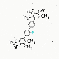 CCCc1c(C)cc(-c2ccc(-c3ccc(-c4cc(C)c(CCC)c(C)c4C)cc3F)cc2)c(C)c1C